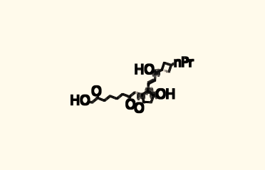 CCC[C@H]1C[C@H]([C@H](O)C=C[C@H]2[C@H](O)CC(=O)[C@@H]2CC(=O)CCCCC(=O)CO)C1